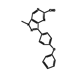 Cn1nc(-c2ccc(Oc3ccccc3)cc2)c2nc(C=O)ncc21